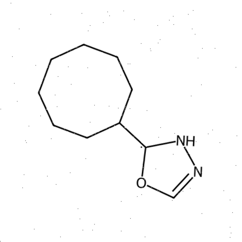 C1=NN[C](C2CCCCCCC2)O1